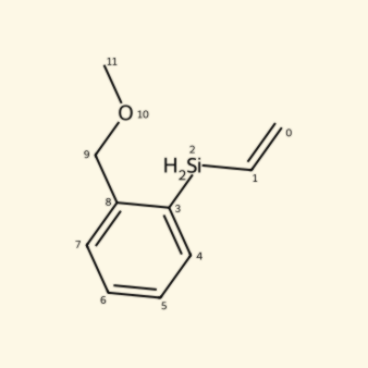 C=C[SiH2]c1ccccc1COC